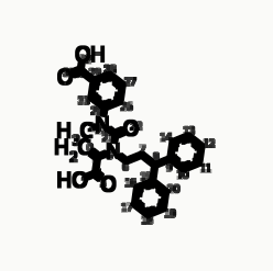 C=C(C(=O)O)N(CCC(c1ccccc1)c1ccccc1)C(=O)N(C)c1cccc(C(=O)O)c1